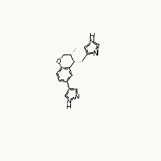 C[C@H]1COc2ccc(-c3cn[nH]c3)cc2[C@H]1Cc1c[nH]cn1